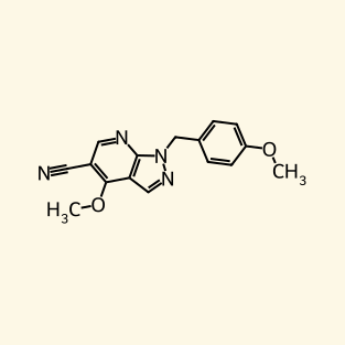 COc1ccc(Cn2ncc3c(OC)c(C#N)cnc32)cc1